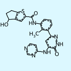 Cc1c(NC(=O)c2cc3c(s2)CCC3O)cccc1-c1cc(Nc2ccncn2)c(=O)[nH]n1